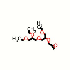 CCOCC(COCC(COCC)OCC1CO1)OCC